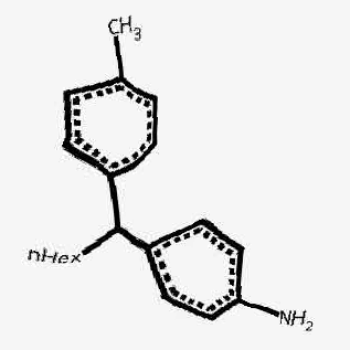 CCCCCCC(c1ccc(C)cc1)c1ccc(N)cc1